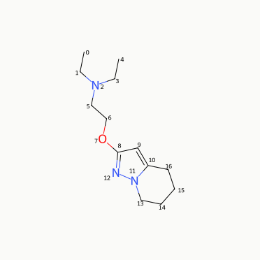 CCN(CC)CCOc1cc2n(n1)CCCC2